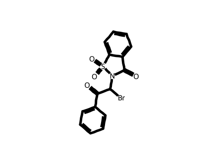 O=C(c1ccccc1)C(Br)N1C(=O)c2ccccc2S1(=O)=O